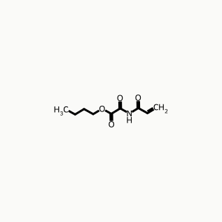 C=CC(=O)NC(=O)C(=O)OCCCC